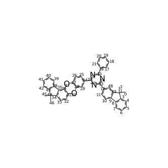 CC1(C)c2ccccc2-c2ccc(-c3nc(-c4ccccc4)nc(-c4ccc5c(c4)Oc4ccc6c(c4O5)-c4ccccc4C6(C)C)n3)cc21